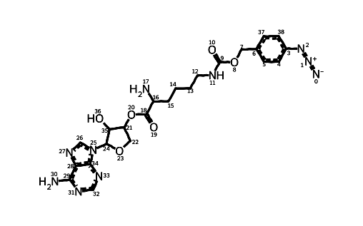 [N-]=[N+]=Nc1ccc(COC(=O)NCCCCC(N)C(=O)OC2COC(n3cnc4c(N)ncnc43)C2O)cc1